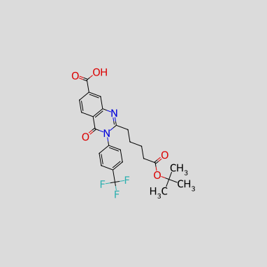 CC(C)(C)OC(=O)CCCCc1nc2cc(C(=O)O)ccc2c(=O)n1-c1ccc(C(F)(F)F)cc1